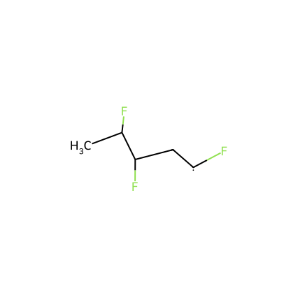 CC(F)C(F)C[CH]F